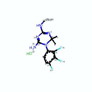 CCCCCCCCCNC1=NC(C)(C)N(c2ccc(F)c(F)c2F)C(N)=N1.Cl